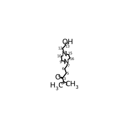 CC(C)C(=O)CCCN1CCN(CCO)CC1